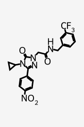 O=C(Cn1nc(-c2ccc([N+](=O)[O-])cc2)n(C2CC2)c1=O)NCc1cccc(C(F)(F)F)c1